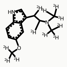 [2H]C(c1c[nH]c2ccc(OC([2H])([2H])[2H])cc12)C([2H])N(C([2H])([2H])[2H])C([2H])([2H])[2H]